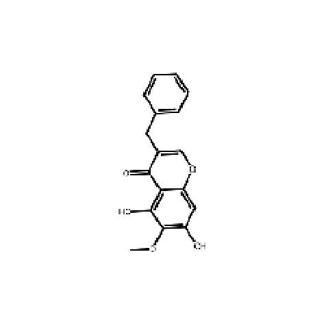 COc1c(O)cc2occ(Cc3ccccc3)c(=O)c2c1O